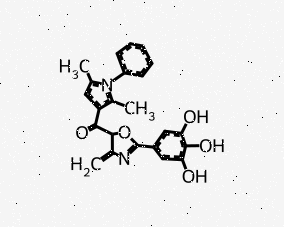 C=C1N=C(c2cc(O)c(O)c(O)c2)OC1C(=O)c1cc(C)n(-c2ccccc2)c1C